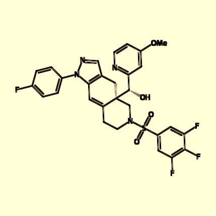 COc1ccnc([C@H](O)[C@]23Cc4cnn(-c5ccc(F)cc5)c4C=C2CCN(S(=O)(=O)c2cc(F)c(F)c(F)c2)C3)c1